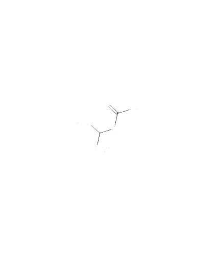 O=CC(=O)OC(C(=O)O)C(=O)O